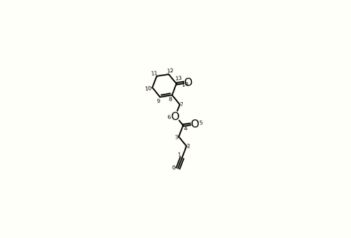 C#CCCC(=O)OCC1=CCCCC1=O